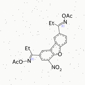 CC/C(=N\OC(C)=O)c1ccc2oc3c([N+](=O)[O-])cc(/C(CC)=N/OC(C)=O)cc3c2c1